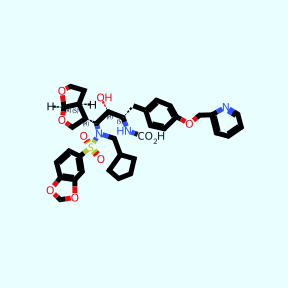 O=C(O)N[C@@H](Cc1ccc(OCc2ccccn2)cc1)[C@@H](O)C([C@@H]1CO[C@H]2OCC[C@H]21)N(CC1CCCC1)S(=O)(=O)c1ccc2c(c1)OCO2